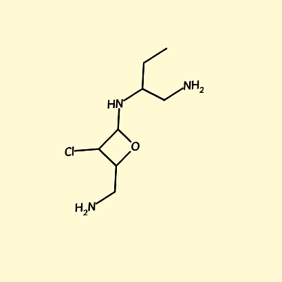 CCC(CN)NC1OC(CN)C1Cl